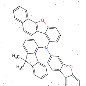 CC1(C)c2ccccc2-c2c(N(c3ccc4c(c3)oc3ccccc34)c3cccc4oc5c6ccccc6ccc5c34)cccc21